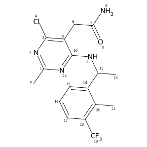 Cc1nc(Cl)c(CC(N)=O)c(NC(C)c2cccc(C(F)(F)F)c2C)n1